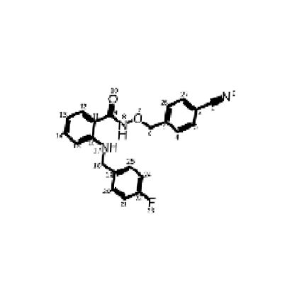 N#Cc1ccc(CONC(=O)c2ccccc2NCc2ccc(F)cc2)cc1